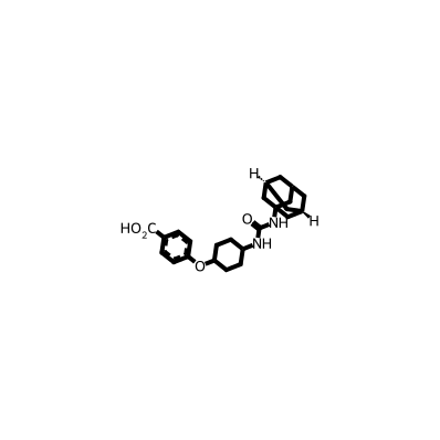 O=C(NC1CCC(Oc2ccc(C(=O)O)cc2)CC1)NC12CC3C[C@H](C1)C[C@H](C3)C2